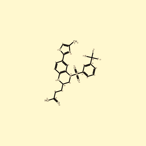 Cc1coc(-c2ccc3c(c2)N(S(=O)(=O)c2cccc(C(F)(F)F)c2)CC(CCC(=O)O)O3)n1